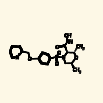 C[C@@H]1O[C@@H](C)CN(S(=O)(=O)c2ccc(OCc3ccccn3)cc2)[C@H]1C(=O)NO